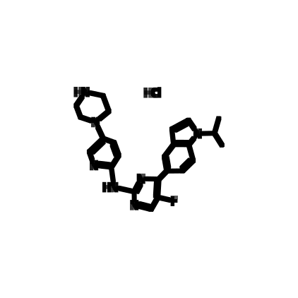 CC(C)n1ccc2cc(-c3nc(Nc4ccc(N5CCNCC5)cn4)ncc3F)ccc21.Cl